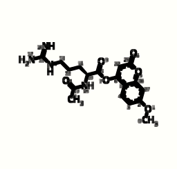 COc1ccc2c(OC(=O)[C@H](CCCNC(=N)N)NC(C)=O)cc(=O)oc2c1